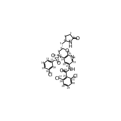 O=C1CCC(C[C@H]2CN(S(=O)(=O)c3cccc(Cl)c3)c3cc(NC(=O)c4c(Cl)cccc4Cl)cnc3O2)N1